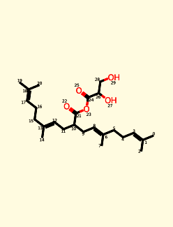 CC(C)=CCC/C(C)=C/CC(C/C=C(\C)CCC=C(C)C)C(=O)OC(=O)C(O)CO